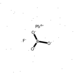 [F-].[O-]B([O-])[O-].[Pb+4]